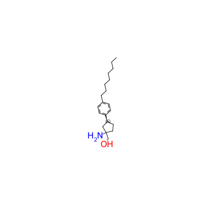 CCCCCCCCc1ccc([C@H]2CCC(N)(CO)C2)cc1